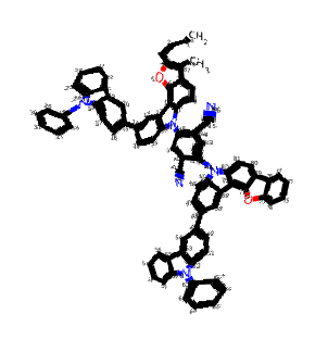 C=C/C=C\c1oc2c(ccc3c2c2cc(-c4ccc5c(c4)c4ccccc4n5-c4ccccc4)ccc2n3-c2cc(C#N)c(-n3c4ccc(-c5ccc6c(c5)c5ccccc5n6-c5ccccc5)cc4c4c5oc6ccccc6c5ccc43)cc2C#N)c1C